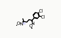 CON=C(CC/C(C)=N/OC)c1ccc(Cl)c(Cl)c1